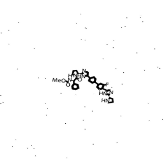 COC(=O)N[C@@H](C(=O)N1CCC[C@H]1c1ncc(-c2ccc(-c3ccc(-c4cnc([C@@H]5CCCN5)[nH]4)c(F)c3)cc2)[nH]1)c1ccccc1